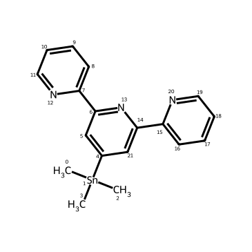 [CH3][Sn]([CH3])([CH3])[c]1cc(-c2ccccn2)nc(-c2ccccn2)c1